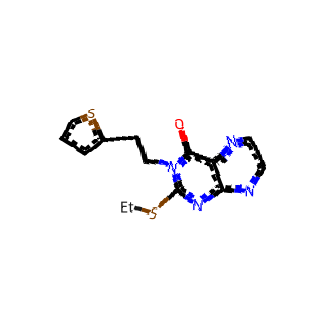 CCSc1nc2nccnc2c(=O)n1CCc1cccs1